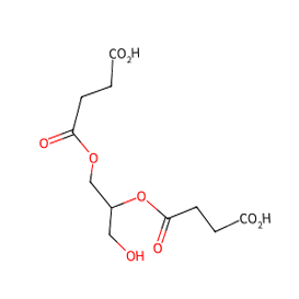 O=C(O)CCC(=O)OCC(CO)OC(=O)CCC(=O)O